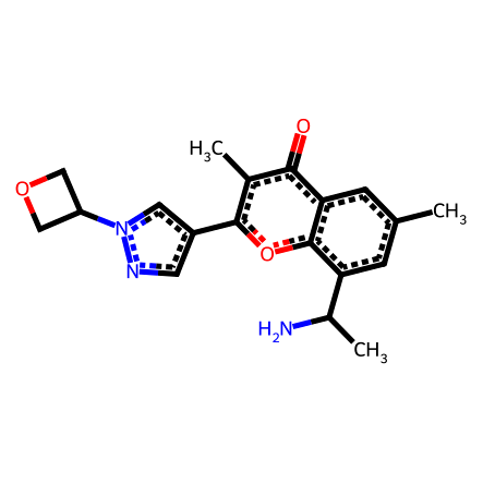 Cc1cc(C(C)N)c2oc(-c3cnn(C4COC4)c3)c(C)c(=O)c2c1